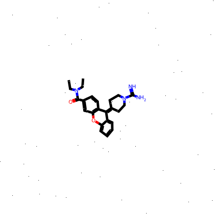 CCN(CC)C(=O)c1ccc2c(c1)Oc1ccccc1C2=C1CCN(C(=N)N)CC1